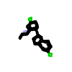 C/C=C/c1cc(Cl)ccc1-c1ccc2cc(Cl)ccc2c1